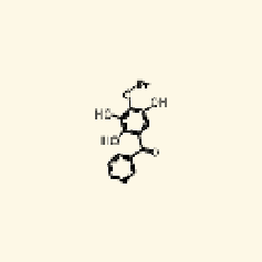 CC(C)Oc1c(O)cc(C(=O)c2ccccc2)c(O)c1O